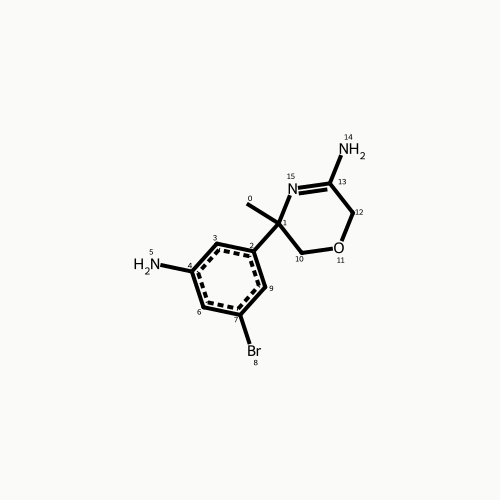 CC1(c2cc(N)cc(Br)c2)COCC(N)=N1